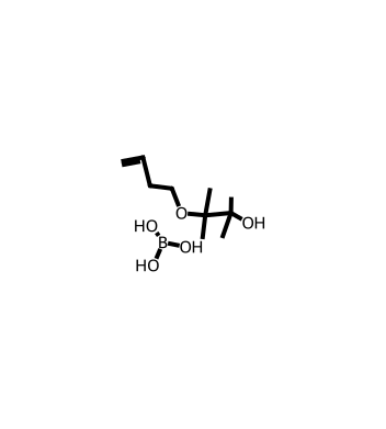 C=CCCOC(C)(C)C(C)(C)O.OB(O)O